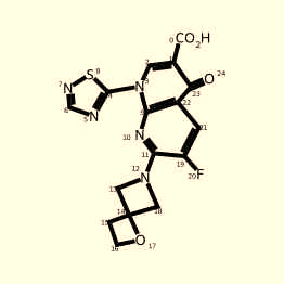 O=C(O)c1cn(-c2ncns2)c2nc(N3CC4(CCO4)C3)c(F)cc2c1=O